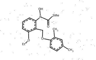 CCOc1cccc(N(O)C(=O)SC)c1COc1ccc(C)cc1C